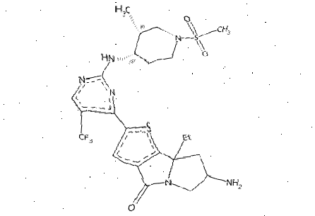 CCC12CC(N)CN1C(=O)c1cc(-c3nc(N[C@H]4CCN(S(C)(=O)=O)C[C@H]4C)ncc3C(F)(F)F)sc12